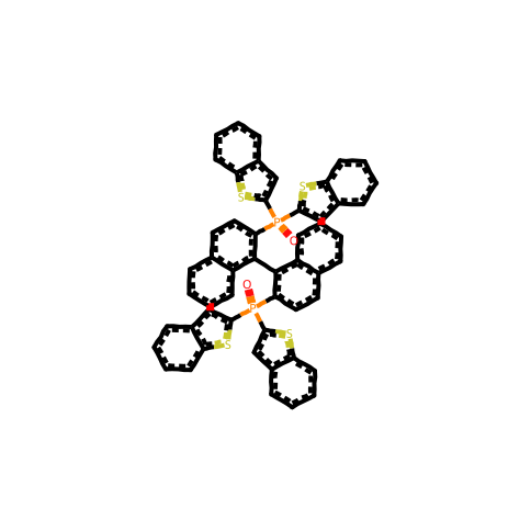 O=P(c1cc2ccccc2s1)(c1cc2ccccc2s1)c1ccc2ccccc2c1-c1c(P(=O)(c2cc3ccccc3s2)c2cc3ccccc3s2)ccc2ccccc12